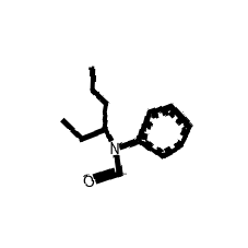 CCCC(CC)N([C]=O)c1ccccc1